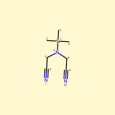 C[Si](C)(C)N(CC#N)CC#N